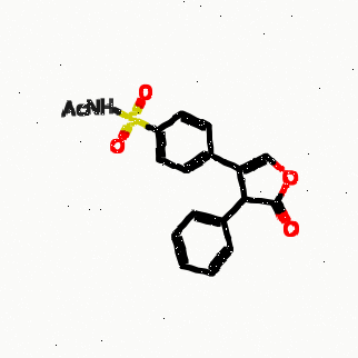 CC(=O)NS(=O)(=O)c1ccc(C2=COC(=O)C2c2ccccc2)cc1